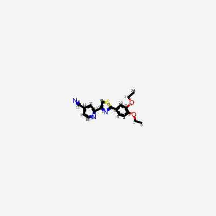 CCOc1ccc(-c2nc(-c3cc(C#N)ccn3)cs2)cc1OCC